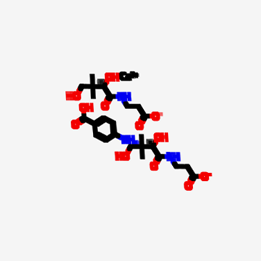 CC(C)(CO)[C@@H](O)C(=O)NCCC(=O)[O-].CC(C)(CO)[C@@H](O)C(=O)NCCC(=O)[O-].Nc1ccc(C(=O)O)cc1.[Ca+2]